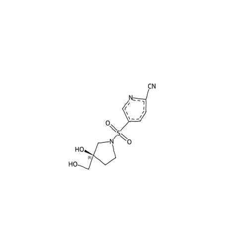 N#Cc1ccc(S(=O)(=O)N2CC[C@](O)(CO)C2)cn1